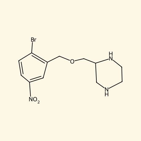 O=[N+]([O-])c1ccc(Br)c(COCC2CNCCN2)c1